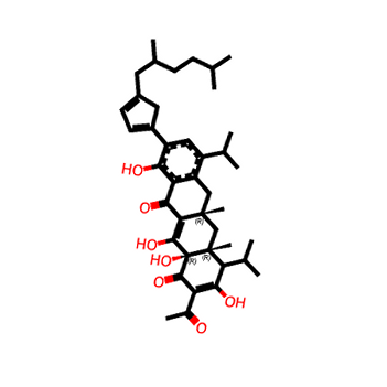 CC(=O)C1=C(O)C(C(C)C)[C@@]2(C)C[C@@]3(C)Cc4c(C(C)C)cc(C5=CC=C(CC(C)CCC(C)C)C5)c(O)c4C(=O)C3=C(O)[C@@]2(O)C1=O